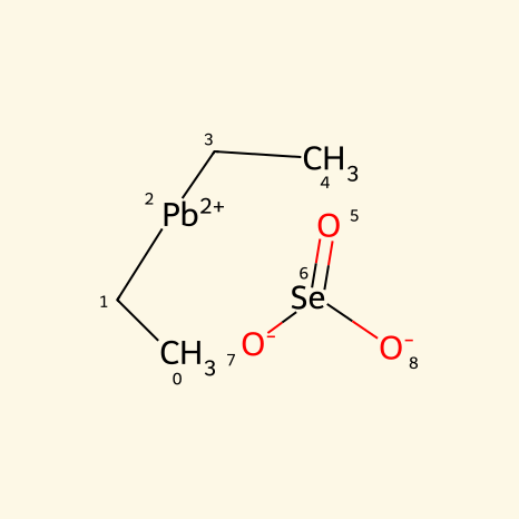 C[CH2][Pb+2][CH2]C.O=[Se]([O-])[O-]